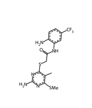 CSc1nc(N)nc(SCC(=O)Nc2cc(C(F)(F)F)ccc2N)c1C